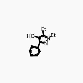 CCc1c(O)c(-c2ccccc2)nn1CC